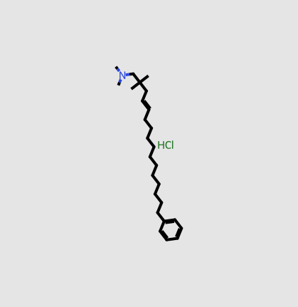 CN(C)CC(C)(C)CC=CCCCCCCCCCCCc1ccccc1.Cl